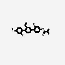 C=Cc1cc(-c2ccc(OC(=O)C(=C)C)cc2F)ccc1-c1ccc(OC)cc1F